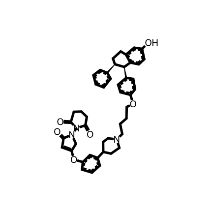 O=C1C=C(Oc2cccc(C3CCN(CCCCOc4ccc([C@@H]5c6ccc(O)cc6CC[C@@H]5c5ccccc5)cc4)CC3)c2)CN1N1C(=O)CCCC1=O